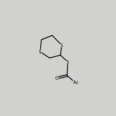 CC(=O)C(=O)SC1CSCCS1